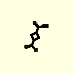 O=C(O)C1CC(C(=O)Cl)C1